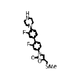 CSCC1CN(c2ccc(-c3ccc(N4CCNCC4)c(F)c3)c(F)c2)C(=O)O1